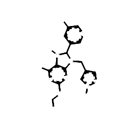 CCOc1nc(C)c2c(n1)N(Cc1cnn(C)c1)C(c1cncc(F)c1)N2C